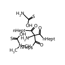 CCCCCCCC(=O)C(N)(C(=O)CCCCCCC)C(=O)CCCCCCC.CN(C)C(O)=S.NC(O)=S